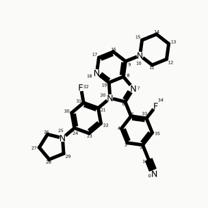 N#Cc1ccc(-c2nc3c(N4CCCCC4)ccnc3n2-c2ccc(N3CCCC3)cc2F)c(F)c1